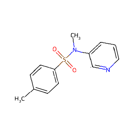 Cc1ccc(S(=O)(=O)N(C)c2[c]nccc2)cc1